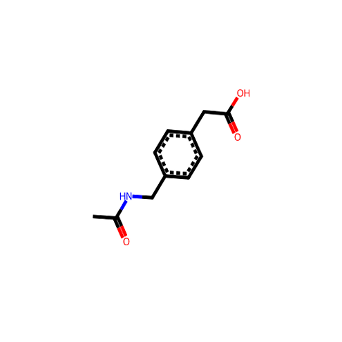 CC(=O)NCc1ccc(CC(=O)O)cc1